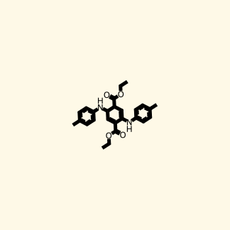 CCOC(=O)C1=CC(Nc2ccc(C)cc2)C(C(=O)OCC)C=C1Nc1ccc(C)cc1